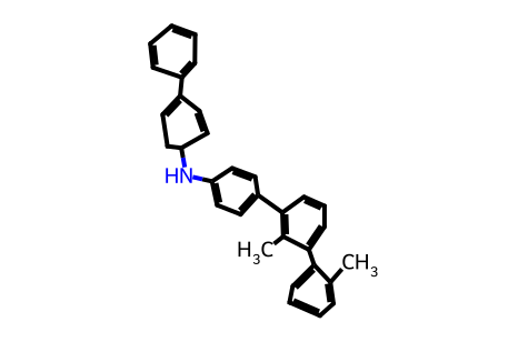 Cc1ccccc1-c1cccc(-c2ccc(NC3C=CC(c4ccccc4)=CC3)cc2)c1C